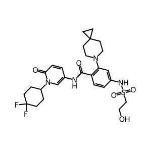 O=C(Nc1ccc(=O)n(C2CCC(F)(F)CC2)c1)c1ccc(NS(=O)(=O)CCO)cc1N1CCC2(CC1)CC2